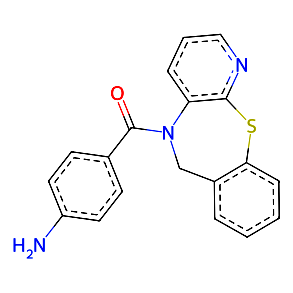 Nc1ccc(C(=O)N2Cc3ccccc3Sc3ncccc32)cc1